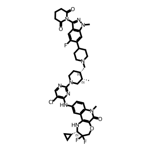 C[C@@H]1CN(c2ncc(Cl)c(Nc3ccc4c(c3)c3c(c(=O)n4C)OCC(F)(F)[C@H](C4CC4)N3)n2)CC[C@@H]1CN1CCC(c2cc3c(cc2F)c(N2C(=O)CCCC2=O)nn3C)CC1